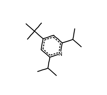 CC(C)c1cc(C(C)(C)C)cc(C(C)C)n1